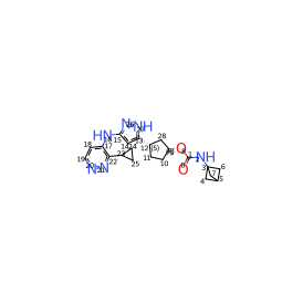 O=C(NC12CC(C1)C2)O[C@@H]1CC[C@H](c2cc(Nc3ccnnc3C3CC3)n[nH]2)C1